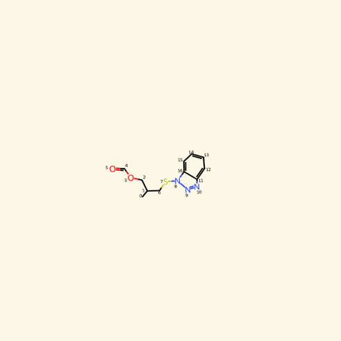 CC(COC=O)CSn1nnc2ccccc21